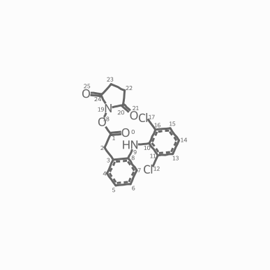 O=C(Cc1ccccc1Nc1c(Cl)cccc1Cl)ON1C(=O)CCC1=O